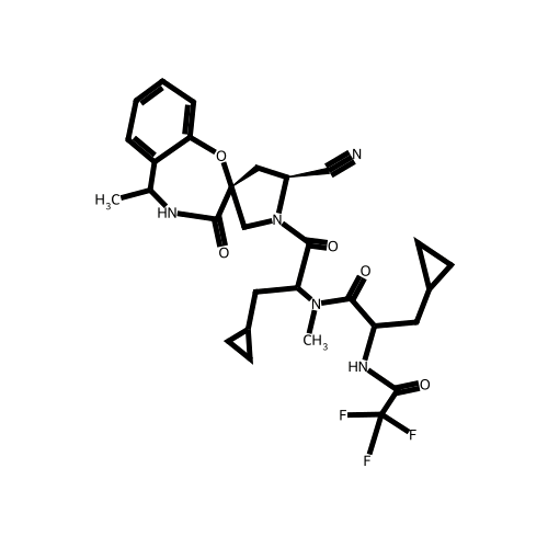 CC1NC(=O)[C@]2(C[C@@H](C#N)N(C(=O)C(CC3CC3)N(C)C(=O)C(CC3CC3)NC(=O)C(F)(F)F)C2)Oc2ccccc21